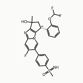 CC1(O)C[C@H](c2ccccc2OC(F)F)c2c1nc1cc(F)c(-c3ccc(S(C)(=N)=O)cc3)cn21